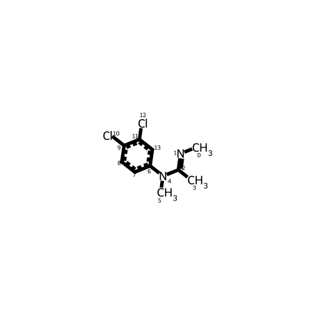 CN=C(C)N(C)c1ccc(Cl)c(Cl)c1